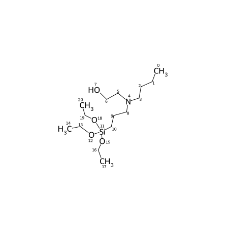 CCCCN(CCO)CCC[Si](OCC)(OCC)OCC